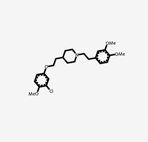 COc1ccc(OCCC2CCN(CCc3ccc(OC)c(OC)c3)CC2)cc1Cl